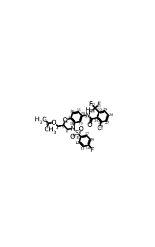 CC(C)OCC1CN(S(=O)(=O)c2ccc(F)cc2)c2cc(NC(=O)c3c(Cl)cccc3C(F)(F)F)ccc2O1